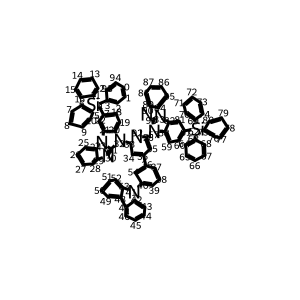 c1ccc([Si](c2ccccc2)(c2ccccc2)c2ccc3c(c2)n2c4ccccc4nc2n3-c2cc(-c3cccc(-n4c5ccccc5c5ccccc54)c3)cc(-n3c4ccc([Si](c5ccccc5)(c5ccccc5)c5ccccc5)cc4n4c5ccccc5nc34)n2)cc1